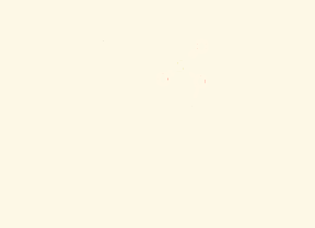 O=S(=O)(CCCc1ccccc1)OCCCc1ccccc1